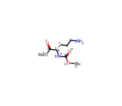 COC(=O)[C@H](CCCN)NC(=O)OC(C)(C)C